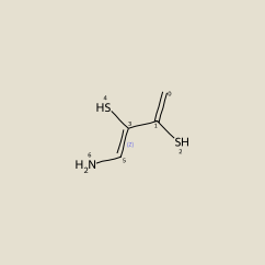 C=C(S)/C(S)=C/N